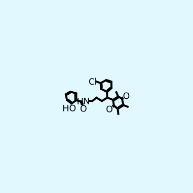 CC1=C(C)C(=O)C(C(CCCNC(=O)c2ccccc2O)c2cccc(Cl)c2)=C(C)C1=O